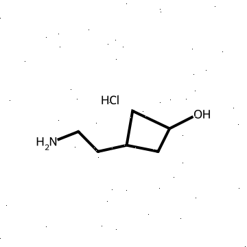 Cl.NCCC1CC(O)C1